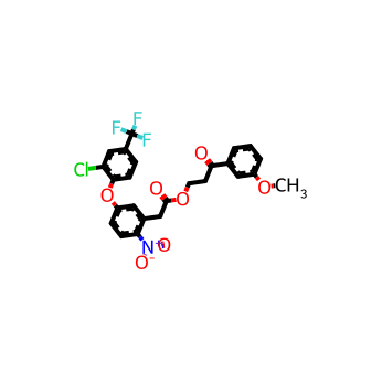 COc1cccc(C(=O)CCOC(=O)Cc2cc(Oc3ccc(C(F)(F)F)cc3Cl)ccc2[N+](=O)[O-])c1